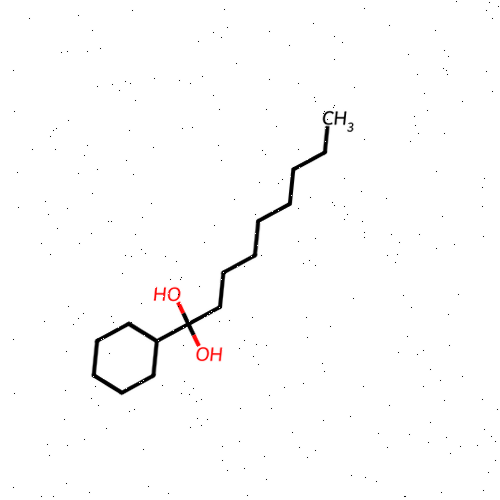 CCCCCCCCC(O)(O)C1CCCCC1